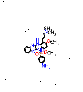 COc1cc(Nc2nc3ccccc3nc2NS(=O)(=O)c2ccc(N)cc2)c(CCCN(C)C)c(OC)c1